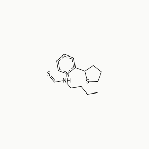 CCCCNC=S.c1ccc(C2CCCS2)nc1